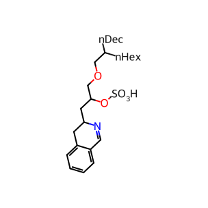 CCCCCCCCCCC(CCCCCC)COCC(CC1Cc2ccccc2C=N1)OS(=O)(=O)O